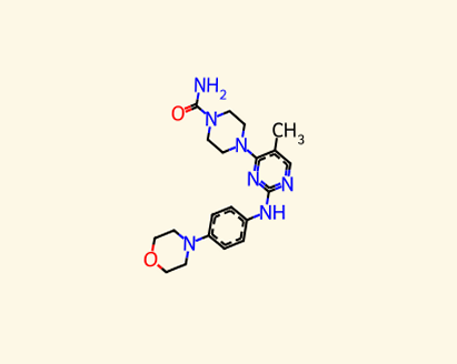 Cc1cnc(Nc2ccc(N3CCOCC3)cc2)nc1N1CCN(C(N)=O)CC1